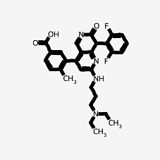 CCN(CC)CCCNc1cc(-c2cc(C(=O)O)ccc2C)c2c(n1)C(c1c(F)cccc1F)C(=O)N=C2